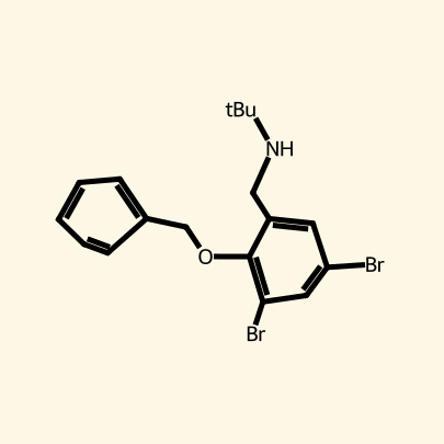 CC(C)(C)NCc1cc(Br)cc(Br)c1OCc1ccccc1